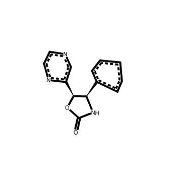 O=C1N[C@H](c2ccccc2)[C@H](c2cnccn2)O1